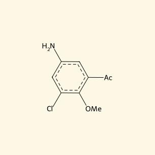 COc1c(Cl)cc(N)cc1C(C)=O